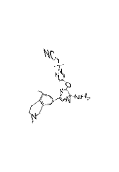 Cc1cc(-c2cnc(N)c(Oc3cnn(C(C)(C)CC#N)c3)n2)cc2c1CCN(C)C2